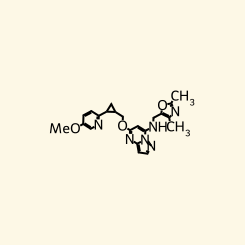 COc1ccc(C2CC2COc2cc(NCc3oc(C)nc3C)n3nccc3n2)nc1